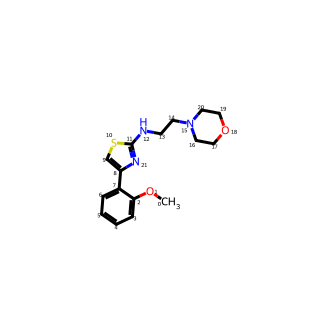 COc1ccccc1-c1csc(NCCN2CCOCC2)n1